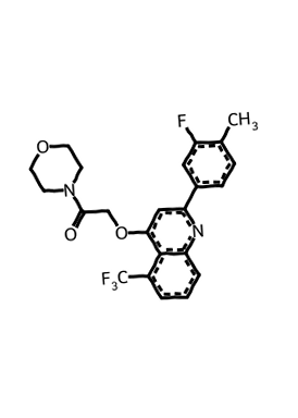 Cc1ccc(-c2cc(OCC(=O)N3CCOCC3)c3c(C(F)(F)F)cccc3n2)cc1F